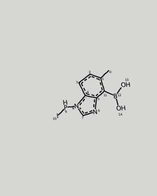 Cc1ccc2c(ncn2PI)c1B(O)O